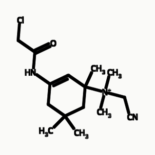 CC1(C)CC(NC(=O)CCl)=CC(C)([N+](C)(C)CC#N)C1